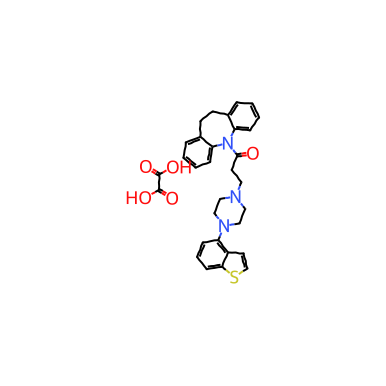 O=C(CCN1CCN(c2cccc3sccc23)CC1)N1c2ccccc2CCc2ccccc21.O=C(O)C(=O)O